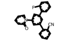 N#Cc1ccccc1-c1cc(-c2ccccc2F)cc(-n2ccccc2=O)c1